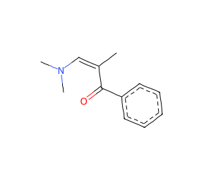 C/C(=C/N(C)C)C(=O)c1ccccc1